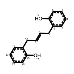 Oc1ccccc1CC=CCc1ccccc1O